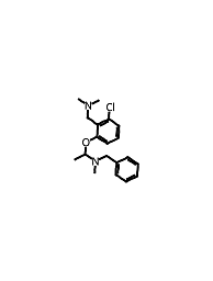 CC(Oc1cccc(Cl)c1CN(C)C)N(C)Cc1ccccc1